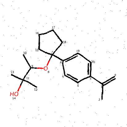 C=C(C)c1ccc(C2(OC(C)C(C)(C)O)CCCC2)cc1